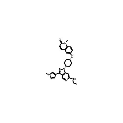 CCNc1cc2c(cn1)c(-c1cnn(C)c1)nn2[C@H]1CC[C@@H](Oc2ccc3c(ccc(=O)n3C)c2)CC1